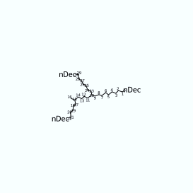 CCCCCCCCCCCCCCCCCCCC(C[CH]CCC(C)CCCCCCCCCCCCCCC)CCCCCCCCCCCCCCCCC